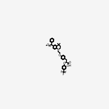 CON=C(c1ccccc1)c1ccc2c(c1)C(C)(C)CCN2CCOc1ccc(CC(Oc2ccc(C(F)(F)F)cc2)C(=O)O)cc1